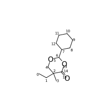 CCC1(C)COC(C2CCCCC2)OC1=O